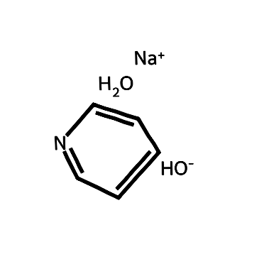 O.[Na+].[OH-].c1ccncc1